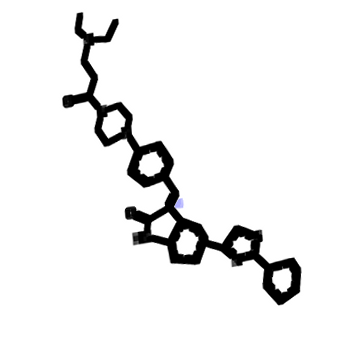 CCN(CC)CCC(=O)N1CCN(c2ccc(/C=C3\C(=O)Nc4ccc(-c5csc(-c6ccccc6)n5)cc43)cc2)CC1